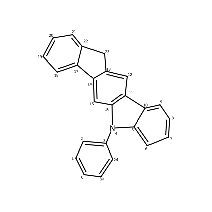 c1ccc(-n2c3ccccc3c3cc4c(cc32)-c2ccccc2C4)cc1